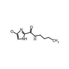 CCCCNC(=O)c1nc([O])c[nH]1